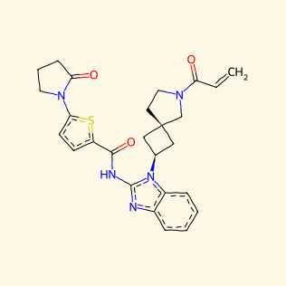 C=CC(=O)N1CC[C@]2(C1)C[C@H](n1c(NC(=O)c3ccc(N4CCCC4=O)s3)nc3ccccc31)C2